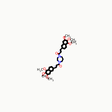 COc1cc2cc(/C=C/C(=O)N3CCCN(C(=O)/C=C/c4ccc5c(OC)c(OC)c(OC)cc5c4)CC3)ccc2c(OC)c1OC